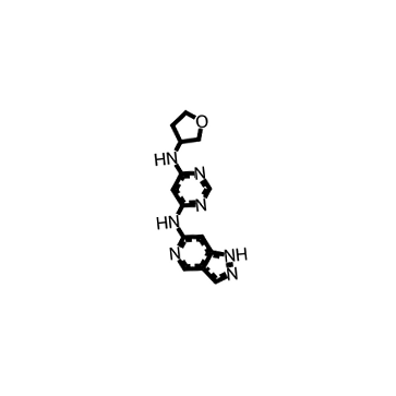 c1nc(Nc2cc3[nH]ncc3cn2)cc(NC2CCOC2)n1